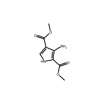 COC(=O)c1c[nH]c(C(=O)OC)c1N